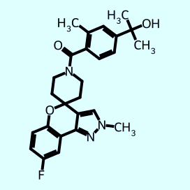 Cc1cc(C(C)(C)O)ccc1C(=O)N1CCC2(CC1)Oc1ccc(F)cc1-c1nn(C)cc12